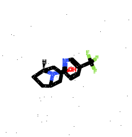 O[C@H]1CC2CC[C@@H](C1)N2c1ccc(C(F)(F)F)cn1